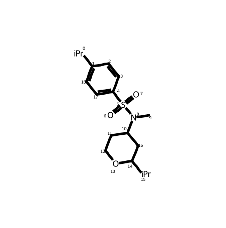 CC(C)c1ccc(S(=O)(=O)N(C)C2CCOC(C(C)C)C2)cc1